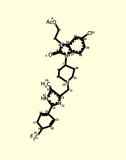 CC(=O)OCCn1c(=O)n(C2CCN(Cc3nc(C4=CCC(C(F)(F)F)C=C4)[nH]c3C)CC2)c2ccc(Cl)cc21